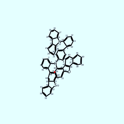 c1ccc(N(c2ccc(-c3ccccc3-n3c4ccccc4c4ccccc43)cc2)c2cccc3oc4c5ccccc5ccc4c23)c(-c2ccc3sc4ccccc4c3c2)c1